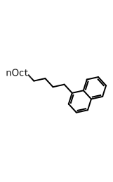 [CH2]CCCCCCCCCCCc1cccc2ccccc12